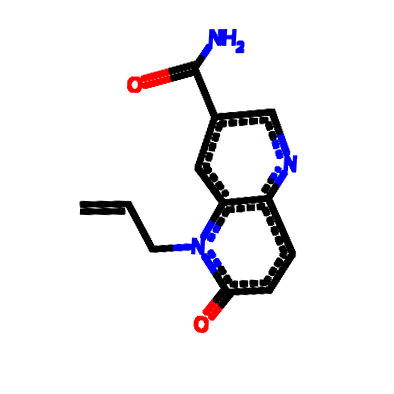 C=CCn1c(=O)ccc2ncc(C(N)=O)cc21